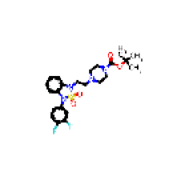 CC(C)(C)OC(=O)N1CCN(CCN2c3ccccc3N(c3ccc(F)c(F)c3)S2(=O)=O)CC1